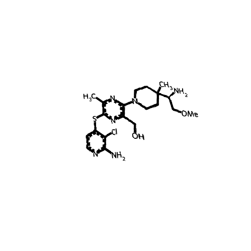 COC[C@H](N)C1(C)CCN(c2nc(C)c(Sc3ccnc(N)c3Cl)nc2CO)CC1